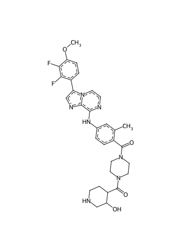 COc1ccc(-c2cnc3c(Nc4ccc(C(=O)N5CCN(C(=O)C6CCNCC6O)CC5)c(C)c4)nccn23)c(F)c1F